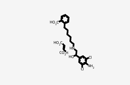 Nc1c(Cl)cc(C(O)CNCCCCCCc2ccccc2C(=O)O)cc1Cl.O=C(O)C=CC(=O)O